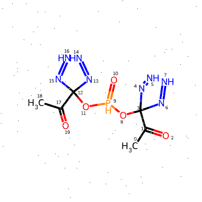 CC(=O)C(N=N)(N=N)O[PH](=O)OC(N=N)(N=N)C(C)=O